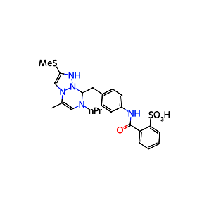 CCCN1C=C(C)N2C=C(SC)NN2C1Cc1ccc(NC(=O)c2ccccc2S(=O)(=O)O)cc1